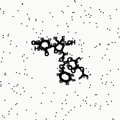 CC(C)OC(=O)[C@H](C)OP(=O)(OC[C@H]1OC(n2ccc(=O)[nH]c2=O)[C@](C)(F)[C@@H]1O)Oc1ccccc1